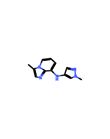 Cc1cnc2c(Nc3cnn(C)c3)cccn12